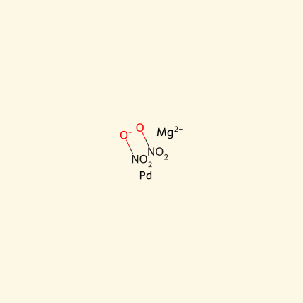 O=[N+]([O-])[O-].O=[N+]([O-])[O-].[Mg+2].[Pd]